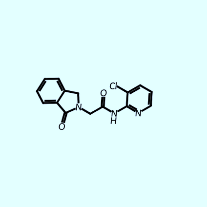 O=C(CN1Cc2ccccc2C1=O)Nc1ncccc1Cl